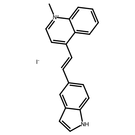 C[n+]1ccc(/C=C/c2ccc3[nH]ccc3c2)c2ccccc21.[I-]